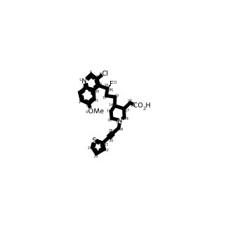 COc1ccc2ncc(Cl)c([C@H](F)CCC3CCN(CC#Cc4cccs4)CC3CC(=O)O)c2c1